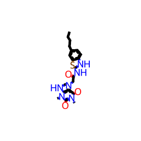 CCCCc1ccc2c(c1)SC(NC(=O)CN1CNc3c1c(=O)n(C)c(=O)n3C)N2